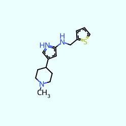 CN1CCC(c2c[nH]c(NCc3cccs3)c2)CC1